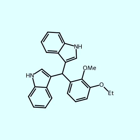 CCOc1cccc(C(c2c[nH]c3ccccc23)c2c[nH]c3ccccc23)c1OC